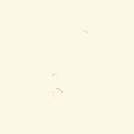 CCCCCCCCCC(CCCCCCCC(C)=O)O[C@@H]1O[C@H](CO)[C@@H](O)[C@H](O)[C@H]1O[C@@H]1O[C@H](CO[C@@H]2O[C@H](C)[C@H](O)[C@H](O)[C@@H]2O)[C@@H](O)[C@H](OC(=O)CCC)[C@H]1O[C@@H]1O[C@@H](C)[C@H](O)[C@@H](O)[C@@H]1O